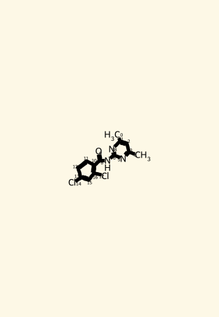 Cc1cc(C)nc(NC(=O)c2ccc(Cl)cc2Cl)n1